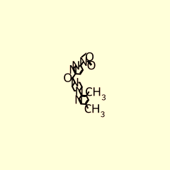 Cc1cnc(N2CCN(C(=O)c3ccc(N4CCOC4=O)nn3)CC2)c(C)c1